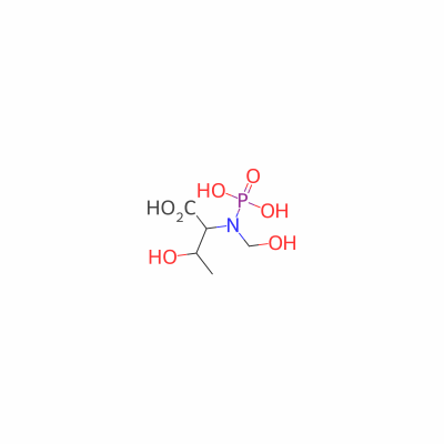 CC(O)C(C(=O)O)N(CO)P(=O)(O)O